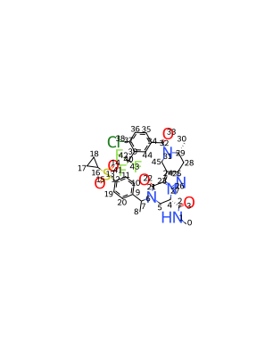 CNC(=O)[C@@H]1CN(C(C)c2ccc(S(=O)(=O)C3CC3)cc2)C(=O)c2c3c(nn21)C[C@@H](C)N(C(=O)c1ccc(Cl)c(C(F)(F)F)c1)C3